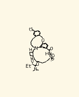 CC[C@H](O[C@H]1/C=C/CC[C@@H](C)S(=O)(=O)NC(=O)c2ccc3c(c2)N(CCCCc2cc(Cl)ccc2CO3)C[C@@H]2CC[C@H]21)C(=O)N(C)C